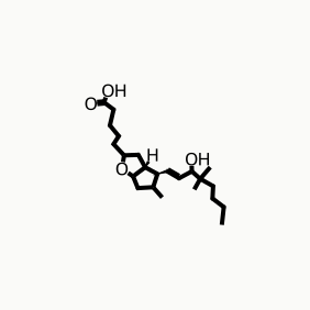 CCCCC(C)(C)C(O)/C=C/[C@H]1C(C)CC2OC(CCCCC(=O)O)C[C@@H]21